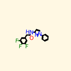 O=C(Cc1cc(F)c(F)c(F)c1)Nc1ccn(-c2ccccc2)n1